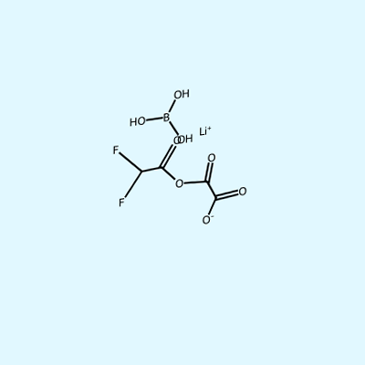 O=C([O-])C(=O)OC(=O)C(F)F.OB(O)O.[Li+]